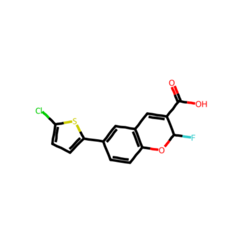 O=C(O)C1=Cc2cc(-c3ccc(Cl)s3)ccc2OC1F